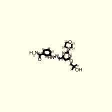 CC(C)(O)COc1cc(/C=N/Nc2cccc(C(N)=O)c2)nc(N2CCOCC2)n1